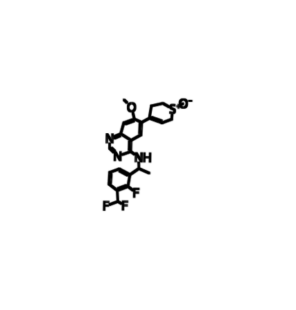 COc1cc2ncnc(NC(C)c3cccc(C(F)F)c3F)c2cc1C1=CC[S+]([O-])CC1